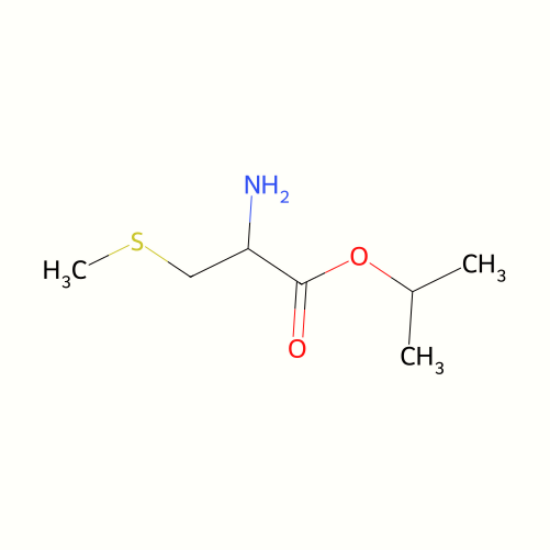 CSCC(N)C(=O)OC(C)C